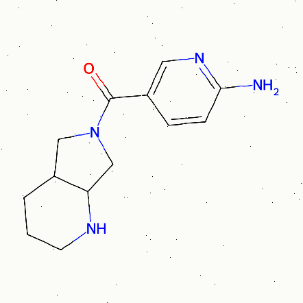 Nc1ccc(C(=O)N2CC3CCCNC3C2)cn1